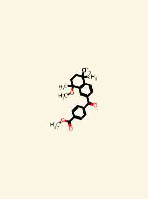 COC(=O)c1ccc(C(=O)c2ccc3c(c2)C(C)(OC)CCC3(C)C)cc1